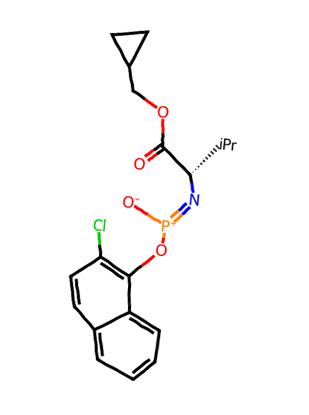 CC(C)[C@H](/N=[P+](\[O-])Oc1c(Cl)ccc2ccccc12)C(=O)OCC1CC1